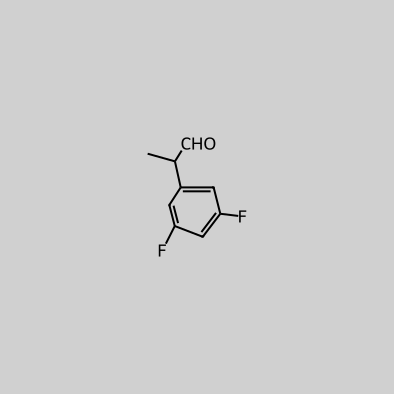 CC(C=O)c1cc(F)cc(F)c1